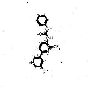 O=C(Nc1ccccc1)Nc1ccc(-c2cncc(F)c2)nc1C(F)(F)F